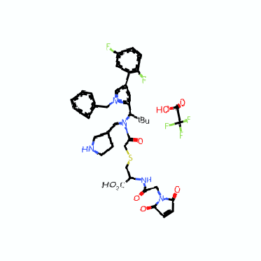 CC(C)(C)C(c1cc(-c2cc(F)ccc2F)cn1Cc1ccccc1)N(CC1CCNC1)C(=O)CSCC(NC(=O)CN1C(=O)C=CC1=O)C(=O)O.O=C(O)C(F)(F)F